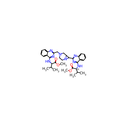 COC(=O)C(Nc1nc(CN2CCN3C(C2)C3c2nc(N[C@H](C(=O)OC)C(C)C)c3ccccc3n2)nc2ccccc12)C(C)C